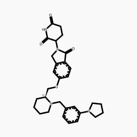 O=C1CCC(N2Cc3cc(OC[C@@H]4CCCCN4Cc4cccc(N5CCCC5)c4)ccc3C2=O)C(=O)N1